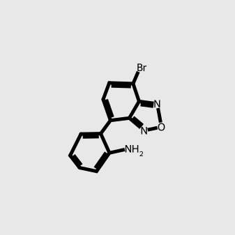 Nc1ccccc1-c1ccc(Br)c2nonc12